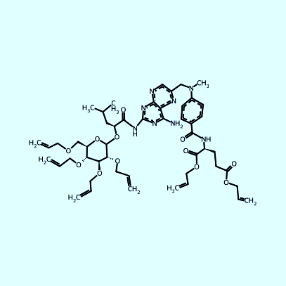 C=CCOC[C@H]1OC(O[C@@H](CC(C)C)C(=O)Nc2nc(N)c3nc(CN(C)c4ccc(C(=O)N[C@@H](CCC(=O)OCC=C)C(=O)OCC=C)cc4)cnc3n2)[C@H](OCC=C)[C@@H](OCC=C)[C@@H]1OCC=C